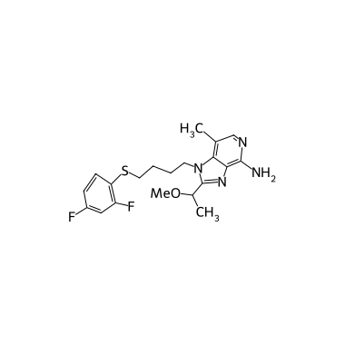 COC(C)c1nc2c(N)ncc(C)c2n1CCCCSc1ccc(F)cc1F